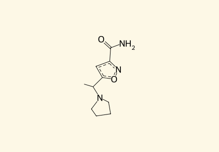 CC(c1cc(C(N)=O)no1)N1CCCC1